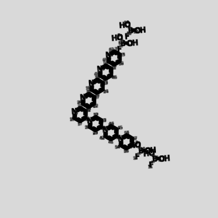 OB(O)F.OB(O)F.OB(O)F.OB(O)F.c1ccncc1.c1ccncc1.c1ccncc1.c1ccncc1.c1ccncc1.c1ccncc1.c1ccncc1.c1ccncc1